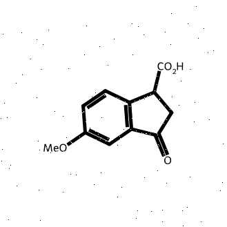 COc1ccc2c(c1)C(=O)CC2C(=O)O